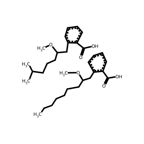 CCCCCCCC(Cc1ccccc1C(=O)O)OC.COC(CCCC(C)C)Cc1ccccc1C(=O)O